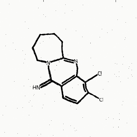 N=c1c2ccc(Cl)c(Cl)c2nc2n1CCCCC2